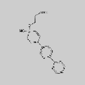 CCCCCCCCCCCCOC1(C#N)C=CC(c2ccc(-c3ccccc3)cc2)=CC1